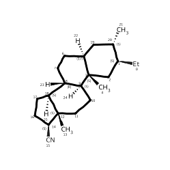 CC[C@H]1C[C@@]2(C)[C@@H](CC[C@@H]3[C@@H]2CC[C@]2(C)[C@@H](C#N)CC[C@@H]32)C[C@@H]1C